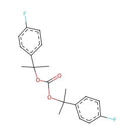 CC(C)(OC(=O)OC(C)(C)c1ccc(F)cc1)c1ccc(F)cc1